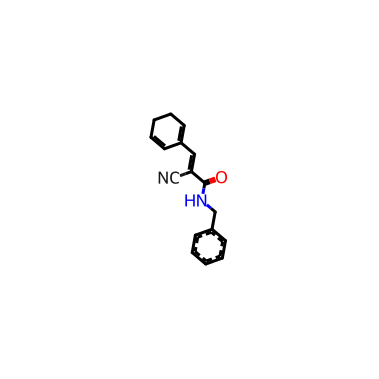 N#C/C(=C\C1=CCCC=C1)C(=O)NCc1ccccc1